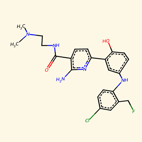 CN(C)CCNC(=O)c1ccc(-c2cc(Nc3ccc(Cl)cc3CF)ccc2O)nc1N